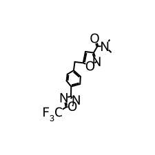 CN(C)C(=O)c1cc(Cc2ccc(-c3noc(C(F)(F)F)n3)cc2)on1